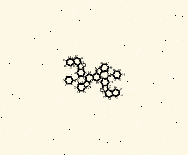 c1ccc(N(c2ccc3oc4ccc5ccccc5c4c3c2)c2cccc3sc4c5ccc6c(sc7cccc(N(c8ccccc8)c8ccc9oc%10ccc%11ccccc%11c%10c9c8)c76)c5ccc4c23)cc1